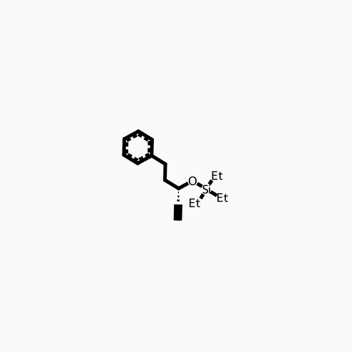 C#C[C@H](CCc1ccccc1)O[Si](CC)(CC)CC